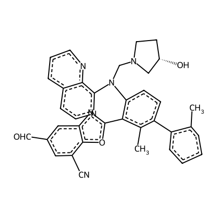 Cc1ccccc1-c1ccc(N(CN2CC[C@H](O)C2)c2nccc3cccnc23)c(-c2nc3cc(C=O)cc(C#N)c3o2)c1C